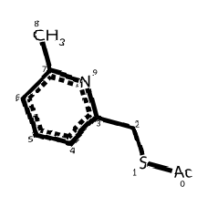 CC(=O)SCc1cccc(C)n1